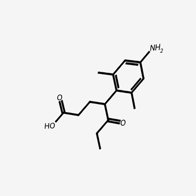 CCC(=O)C(CCC(=O)O)c1c(C)cc(N)cc1C